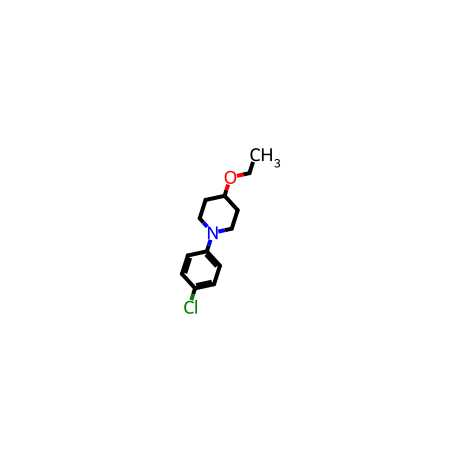 CCOC1CCN(c2ccc(Cl)cc2)CC1